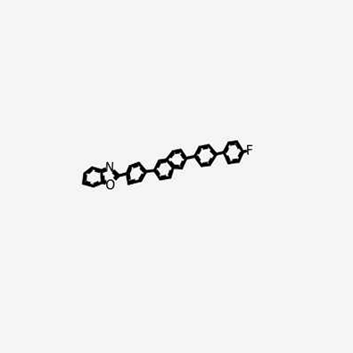 Fc1ccc(-c2ccc(-c3ccc4cc(-c5ccc(-c6nc7ccccc7o6)cc5)ccc4c3)cc2)cc1